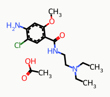 CC(=O)O.CCN(CC)CCNC(=O)c1cc(Cl)c(N)cc1OC